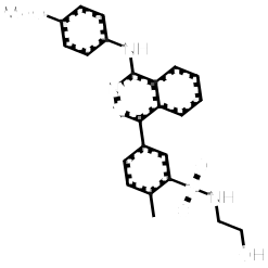 COc1ccc(Nc2nnc(-c3ccc(C)c(S(=O)(=O)NCCO)c3)c3ccccc23)cc1